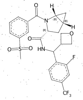 CS(=O)(=O)c1cccc(C(=O)N2[C@@H](C(=O)NC(c3ccc(C(F)(F)F)cc3F)C3COC3)C[C@H]3C[C@H]32)c1